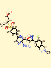 CNCc1ccc(-c2cc(-c3nc(-c4ccc(S(=O)(=O)C(C)CCO)cc4)cnc3N)on2)c(F)c1